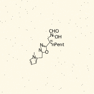 CCCCC[C@H](CN(O)C=O)c1nnc(Cc2cccn2C)o1